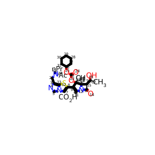 CCCN(Cc1ncn2cc(C3=C(C(=O)O)N4C(=O)[C@H]([C@@H](C)O)[C@@H]4[C@@]3(C)OC(=O)OC3CCCCC3)sc12)C(C)=O